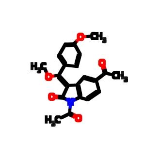 CO/C(=C1\C(=O)N(C(C)=O)c2ccc(C(C)=O)cc21)c1ccc(OC)cc1